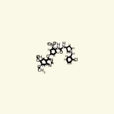 COc1cc2ncnc(Oc3ccc(NC(=O)NC4CCN(Cc5ccccc5Cl)C4)c([N+](=O)[O-])c3)c2cc1OC